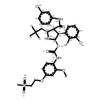 COc1cc(OCCS(C)(=O)=O)ccc1NC(=O)O[C@H]1N[C@@H](CC(C)(C)C)[C@@]2(C(=O)Nc3cc(Cl)ccc32)[C@H]1c1cccc(Cl)c1F